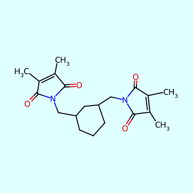 CC1=C(C)C(=O)N(CC2CCCC(CN3C(=O)C(C)=C(C)C3=O)C2)C1=O